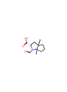 O=CN1[C@H](C(=O)O)C[C@@H]2CCC[C@@H]21